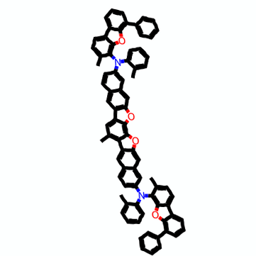 Cc1ccccc1N(c1ccc2cc3c(cc2c1)oc1c3cc(C)c2c3cc4ccc(N(c5ccccc5C)c5c(C)ccc6c5oc5c(-c7ccccc7)cccc56)cc4cc3oc12)c1c(C)ccc2c1oc1c(-c3ccccc3)cccc12